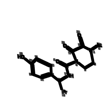 CCN1CCN(C(=O)NC(c2ccc(O)cc2)C(C)C)C(=O)C1=O